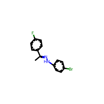 C/C(=N\Nc1ccc(Br)cc1)c1ccc(F)cc1